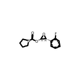 O=C(O[C@@H]1O[C@@H]1c1ccccc1F)N1CCCC1